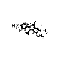 C=C/C=C\C(=C/C=C)[C@H](C)N[C@@H](CC1CC1)c1ccc(C)c(F)c1